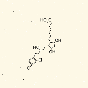 O=C(O)CCCCCC[C@@H]1[C@@H](CCC(O)/C=C/c2ccc(Cl)cc2Cl)[C@H](O)C[C@@H]1O